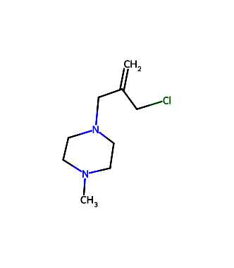 C=C(CCl)CN1CCN(C)CC1